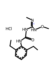 CCc1cccc(CC)c1NC(=O)N/C(=N\C)NOC.Cl